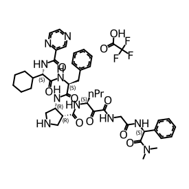 CCC[C@H](NC(=O)[C@@H]1CNC[C@@H]1NC(=O)[C@H](Cc1ccccc1)NC(=O)[C@@H](NC(=O)c1cnccn1)C1CCCCC1)C(=O)C(=O)NCC(=O)N[C@H](C(=O)N(C)C)c1ccccc1.O=C(O)C(F)(F)F